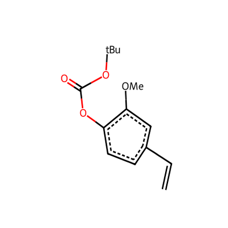 C=Cc1ccc(OC(=O)OC(C)(C)C)c(OC)c1